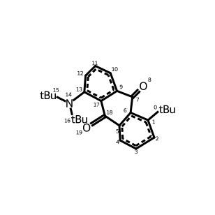 CC(C)(C)c1cccc2c1C(=O)c1cccc(N(C(C)(C)C)C(C)(C)C)c1C2=O